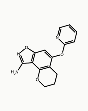 Nc1noc2cc(Oc3ccccn3)c3c(c12)OCCC3